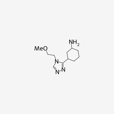 COCCn1cnnc1C1CCCC(N)C1